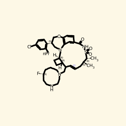 CCCc1cc(Cl)ccc1[C@@H]1COc2ccc3cc2N(C1)C[C@@H]1CC[C@H]1C(CN1CCC[C@@H](F)CCNCC1)/C=C/C[C@H](C)[C@@H](C)S(=O)(=O)NC3=O